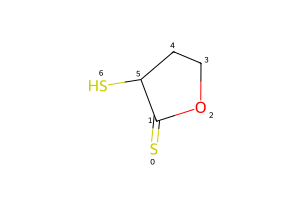 S=C1OCCC1S